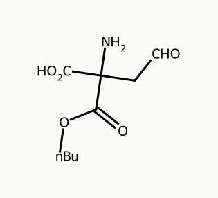 CCCCOC(=O)C(N)(CC=O)C(=O)O